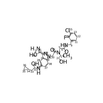 C[C@H](CO)N(CC(=O)NCc1cccc(Cl)c1F)C(=O)Cn1nc(C(N)O)c2cc(NC(O)CC3CC3)ccc21